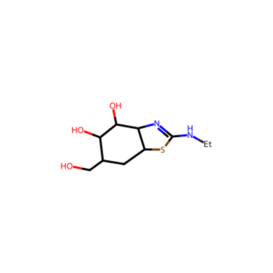 CCNC1=NC2C(CC(CO)C(O)C2O)S1